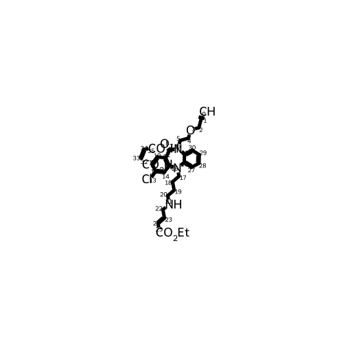 C#CCOCCN1C(=O)c2ccc(Cl)cc2N(CCCCNC/C=C/C(=O)OCC)c2ccccc21.O=C(O)/C=C\C(=O)O